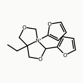 CCC12COC[N+]1(c1ccco1)C(c1ccco1)OC2